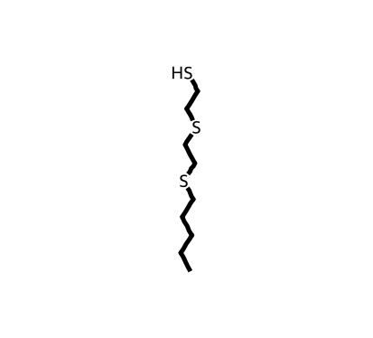 CCCCCSCCSCCS